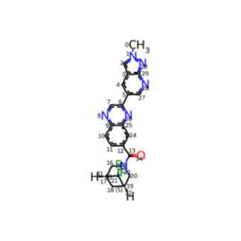 Cn1cc2cc(-c3cnc4ccc(C(=O)N5C[C@H]6C[C@@H](C5)C6(F)F)cc4n3)cnc2n1